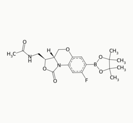 CC(=O)NC[C@@H]1OC(=O)N2c3cc(F)c(B4OC(C)(C)C(C)(C)O4)cc3OC[C@@H]12